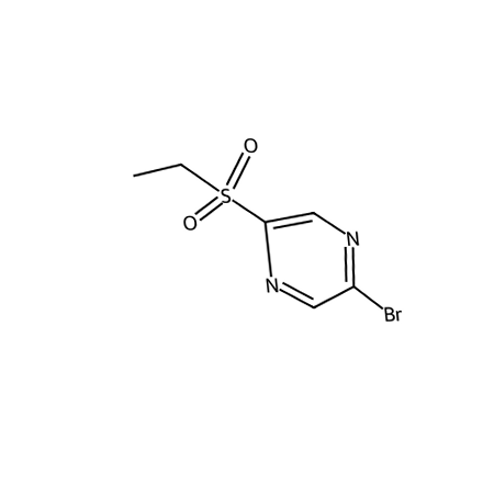 CCS(=O)(=O)c1cnc(Br)cn1